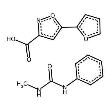 CNC(=O)Nc1ccccc1.O=C(O)c1cc(-c2ccco2)on1